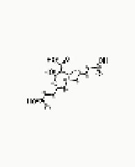 CCC(C(=O)O)C(=O)O.O=C(O)CCCCCCCCCC(=O)O